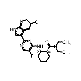 CCN(CC)C(=O)[C@H]1CCCC[C@@H]1Nc1nc(-c2c[nH]c3c2=CC(Cl)CN=3)ncc1F